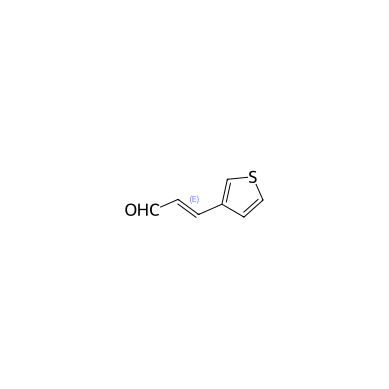 O=C/C=C/c1ccsc1